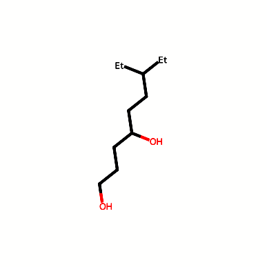 CCC(CC)CCC(O)CCCO